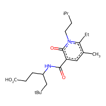 CCc1c(C)cc(C(=O)NC(CCC(=O)O)CC(C)(C)C)c(=O)n1CCC(C)C